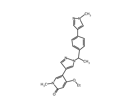 CCOc1cc(=O)n(C)cc1-c1cnn(C(C)c2ccc(-c3cnn(C)c3)cc2)c1